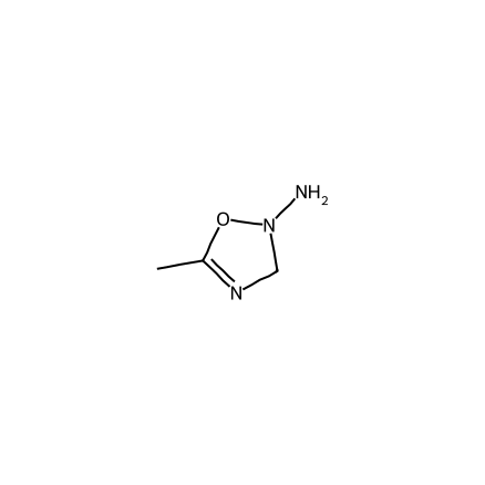 CC1=NCN(N)O1